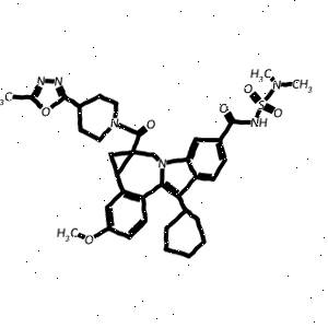 COc1ccc2c(c1)C1CC1(C(=O)N1CCC(c3nnc(C)o3)CC1)Cn1c-2c(C2CCCCC2)c2ccc(C(=O)NS(=O)(=O)N(C)C)cc21